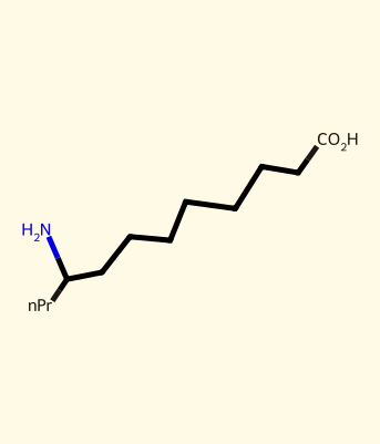 CCCC(N)CCCCCCCC(=O)O